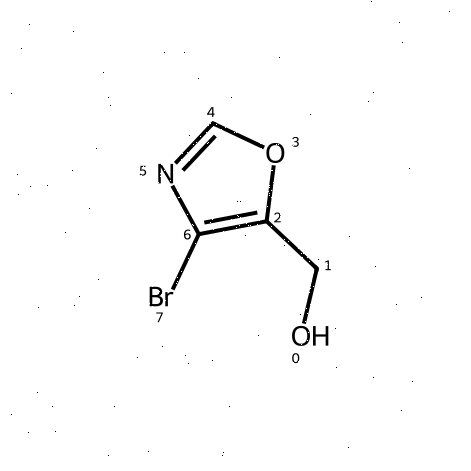 OCc1ocnc1Br